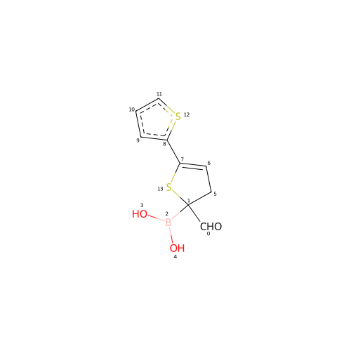 O=CC1(B(O)O)CC=C(c2cccs2)S1